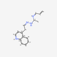 C=C/C=N\C(C)N/N=C\Cc1ccnc2ccccc12